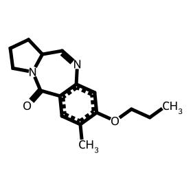 CCCOc1cc2c(cc1C)C(=O)N1CCCC1C=N2